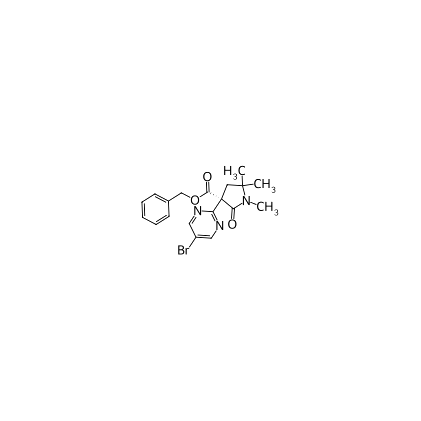 CN1C(=O)[C@@](C(=O)OCc2ccccc2)(c2ncc(Br)cn2)CC1(C)C